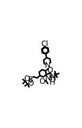 CC(=O)NC1(C(=O)NC(C)(C)C)CC(CCB2OC(C)(C)C(C)(C)O2)CCC1CN1CCC(c2ccc(Cl)cc2)CC1